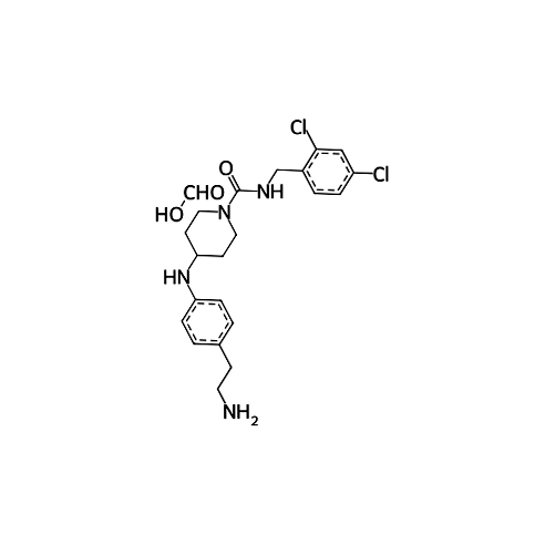 NCCc1ccc(NC2CCN(C(=O)NCc3ccc(Cl)cc3Cl)CC2)cc1.O=CO